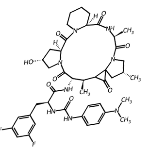 C[C@H]1CN2C(=O)[C@H](C)NC(=O)[C@@H]3CCCCN3C(=O)[C@@H]3C[C@@H](O)CN3C(=O)[C@@H](NC(=O)[C@H](Cc3cc(F)cc(F)c3)NC(=O)Nc3ccc(N(C)C)cc3)[C@H](C)C3C(=O)C32C1